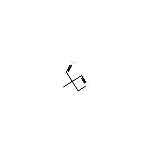 CC1(C=N)C=NC1